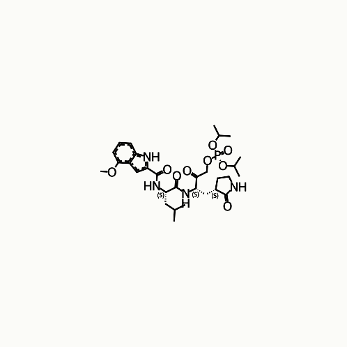 COc1cccc2[nH]c(C(=O)N[C@@H](CC(C)C)C(=O)N[C@@H](C[C@@H]3CCNC3=O)C(=O)COP(=O)(OC(C)C)OC(C)C)cc12